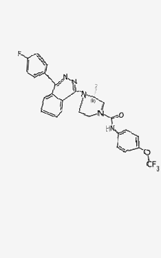 C[C@@H]1CN(C(=O)Nc2ccc(OC(F)(F)F)cc2)CCN1c1nnc(-c2ccc(F)cc2)c2ccccc12